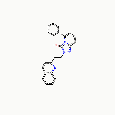 O=c1n(CCc2ccc3ccccc3n2)nc2cccc(-c3ccccc3)n12